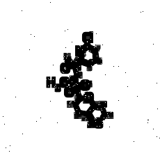 CN(CC1(c2cccc(Cl)n2)CO1)S(=O)(=O)C1CCC2=CSCC=C2O1